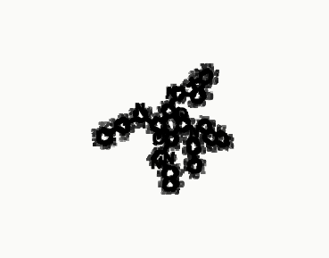 CC1(C)c2c(-c3ccnc(-c4ccc5c6cc(-c7cncc(-c8ccc(-c9ccccc9)cc8)c7)cc7oc8c(-c9ccnc(-c%10ccc%11ccccc%11c%10)n9)ccc(c9cc(N(c%10ccc(-c%11ccccc%11)cc%10)c%10cccc%11c%10ccc%10ccccc%10%11)cc%10oc4c5c%109)c8c76)c3)cccc2C2C=CC=CC21